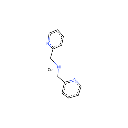 [Cu].c1ccc(CNCc2ccccn2)nc1